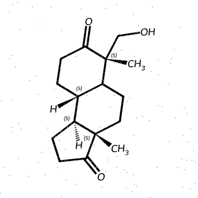 C[C@]1(CO)C(=O)CC[C@@H]2C1CC[C@]1(C)C(=O)CC[C@@H]21